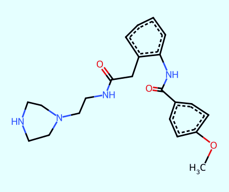 COc1ccc(C(=O)Nc2ccccc2CC(=O)NCCN2CCNCC2)cc1